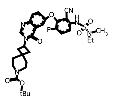 CCN(C)S(=O)(=O)Nc1ccc(F)c(Oc2ccc3ncn(C4CC5(CCN(C(=O)OC(C)(C)C)CC5)C4)c(=O)c3c2)c1C#N